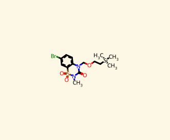 CN1C(=O)N(COCC[Si](C)(C)C)c2ccc(Br)cc2S1(=O)=O